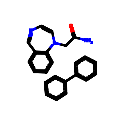 NC(=O)CN1C=CN=Cc2ccccc21.c1ccc(-c2ccccc2)cc1